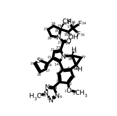 COc1cc2c(cc1-c1nnn(C)n1)-c1c(-c3cccs3)cc(C(=O)N3CCC[C@]3(C)[C@H](O)C(F)(F)F)n1[C@@H]1C[C@H]21